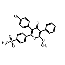 COc1oc(-c2ccc(S(C)(=O)=O)cc2)c(-c2ccc(Cl)cc2)c(=O)c1-c1ccccc1